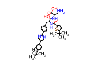 CC(C)(C)c1ccc(-c2cnc(-c3ccc(C[C@H](NC(=O)c4ccc(C(C)(C)C)s4)C(O)NC(CN)C(=O)O)cc3)nc2)cc1